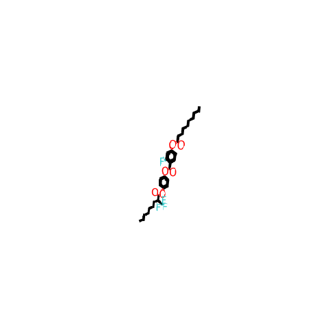 CCCCCCCCCC(=O)Oc1ccc(C(=O)Oc2ccc(OC(=O)C(CCCCCCC)C(F)(F)F)cc2)c(F)c1